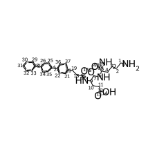 NCCCCC(NC(=O)C(CCC(=O)O)NC(=O)CCc1ccc(-c2ccc(-c3ccccc3)cc2)cc1)C(N)=O